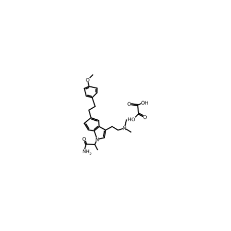 COc1ccc(CCc2ccc3c(c2)c(CCN(C)C)cn3C(C)C(N)=O)cc1.O=C(O)C(=O)O